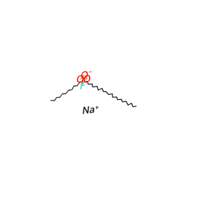 CCCCCCCCCCCCCCCCCCCCCC(F)(CCCCCCCCCCC)S(=O)(=O)[O-].[Na+]